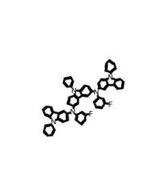 Fc1cccc(N(c2ccc3c(c2)c2ccccc2n3-c2ccccc2)c2ccc3c(c2)c2cc(N(c4cccc(F)c4)c4ccc5c(c4)c4ccccc4n5-c4ccccc4)ccc2n3-c2ccccc2)c1